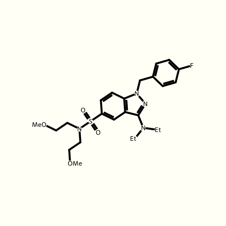 CCN(CC)c1nn(Cc2ccc(F)cc2)c2ccc(S(=O)(=O)N(CCOC)CCOC)cc12